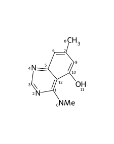 CNc1ncnc2cc(C)cc(O)c12